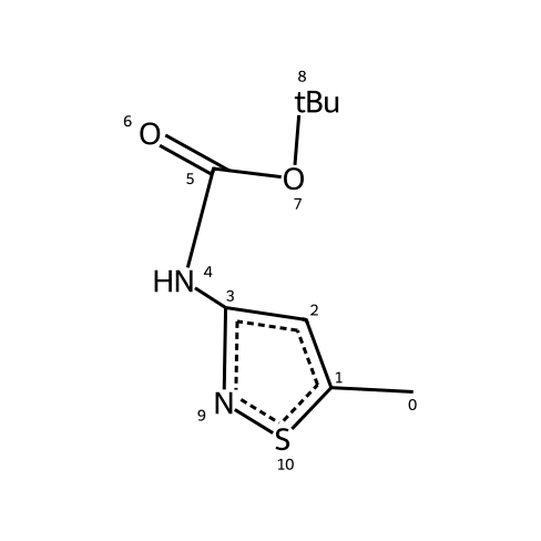 Cc1cc(NC(=O)OC(C)(C)C)ns1